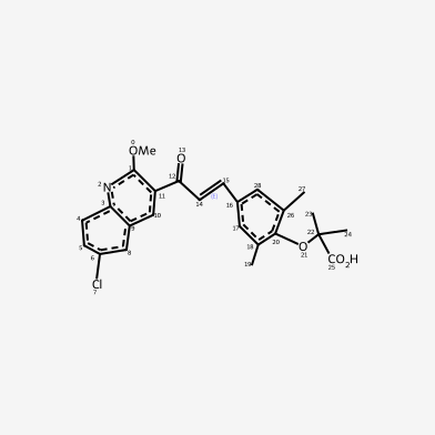 COc1nc2ccc(Cl)cc2cc1C(=O)/C=C/c1cc(C)c(OC(C)(C)C(=O)O)c(C)c1